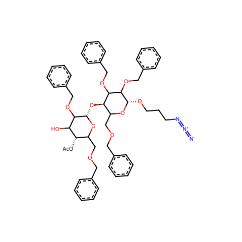 CC(=O)O[C@H]1C(COCc2ccccc2)O[C@@H](O[C@@H]2C(COCc3ccccc3)O[C@@H](OCCCN=[N+]=[N-])C(OCc3ccccc3)C2OCc2ccccc2)C(OCc2ccccc2)C1O